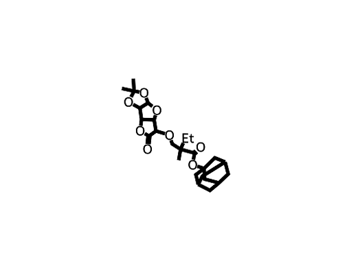 CCC(C)(COC1C(=O)OC2C3OC(C)(C)OC3OC12)C(=O)OC12CC3CC(CC(C3)C1)C2